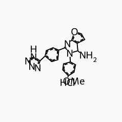 COc1ccc(N2C(c3ccc(-c4nnn[nH]4)cc3)=Nc3occc3C2N)cc1.Cl